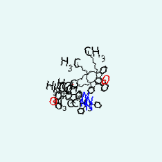 CCCCCCCC12CCC(CCCCC)(CCCCC)CCC3(CCCCCCC)c4cc(N(c5ccc6c(c5)C(C)(C)c5cc7c(cc5-6)C(C)(C)c5ccc6oc8ccccc8c6c5-7)c5nc(-c6ccccc6)nc(-c6ccccc6)n5)ccc4-c4c3c1c(c1oc3ccccc3c41)-c1ccccc12